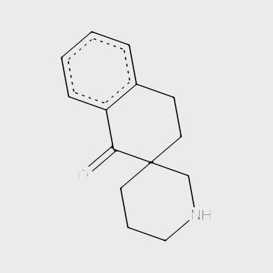 O=C1c2ccccc2CCC12CCCNC2